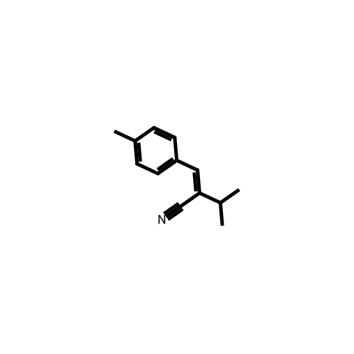 Cc1ccc(/C=C(\C#N)C(C)C)cc1